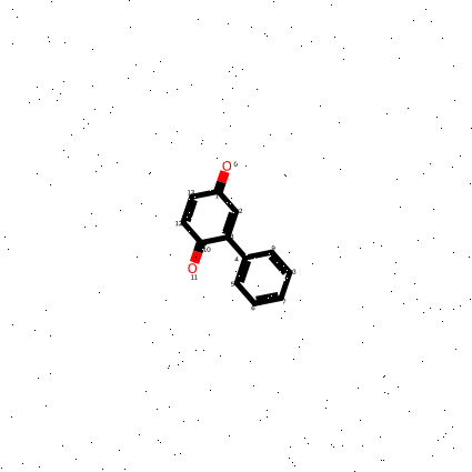 O=C1[C]=C(c2ccccc2)C(=O)C=C1